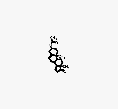 CC(=O)OC1CCC2(C)C(=CCC3C4CCC(=O)C4(C)CCC32)C1